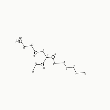 CCCCCCOC(COCCO)OCC